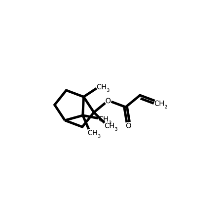 C=CC(=O)OC1(C)CC2CCC1(C)C2(C)C